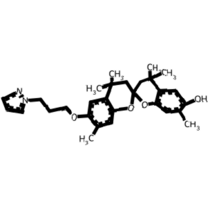 Cc1cc2c(cc1O)C(C)(C)CC1(CC(C)(C)c3cc(OCCCn4cccn4)c(C)cc3O1)O2